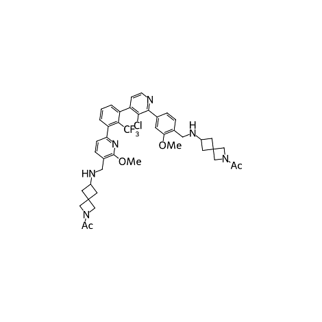 COc1cc(-c2nccc(-c3cccc(-c4ccc(CNC5CC6(C5)CN(C(C)=O)C6)c(OC)n4)c3C(F)(F)F)c2Cl)ccc1CNC1CC2(C1)CN(C(C)=O)C2